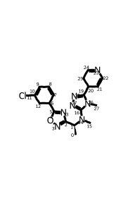 C[C@@H](c1noc(C2C=CC=C(Cl)C2)n1)N(C)c1nnc(C2C=CN=CC2)n1C